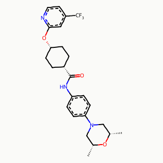 C[C@@H]1CN(c2ccc(NC(=O)[C@H]3CC[C@@H](Oc4cc(C(F)(F)F)ccn4)CC3)cc2)C[C@H](C)O1